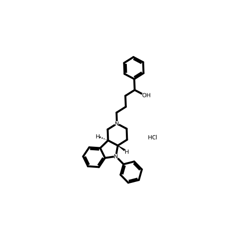 Cl.OC(CCCN1CC[C@H]2[C@H](C1)c1ccccc1N2c1ccccc1)c1ccccc1